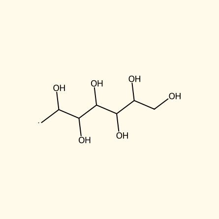 [CH2]C(O)C(O)C(O)C(O)C(O)CO